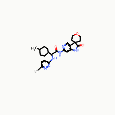 CCc1ccc(NC(C(=O)Nc2cc3c(cn2)C2(CCOCC2)C(=O)N3)C2CCC(C)CC2)nn1